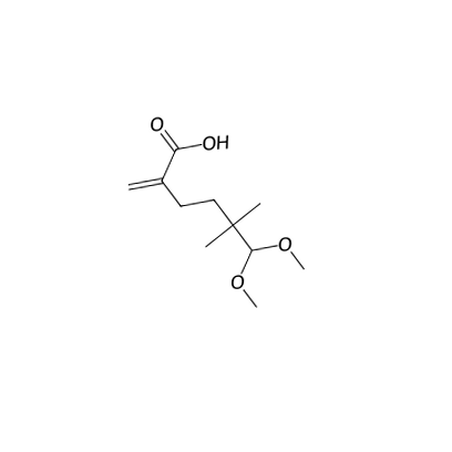 C=C(CCC(C)(C)C(OC)OC)C(=O)O